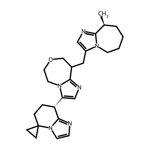 C[C@H]1CCCCn2c(CC3COCCn4c([C@H]5CCC6(CC6)n6ccnc65)cnc43)cnc21